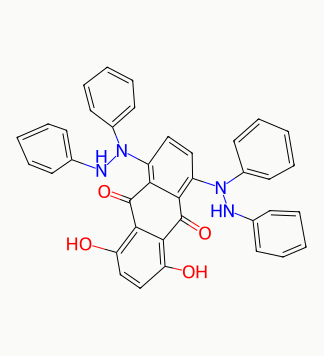 O=C1c2c(O)ccc(O)c2C(=O)c2c(N(Nc3ccccc3)c3ccccc3)ccc(N(Nc3ccccc3)c3ccccc3)c21